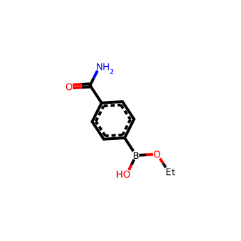 CCOB(O)c1ccc(C(N)=O)cc1